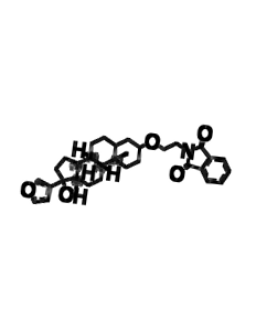 C[C@]12CCC(OCCN3C(=O)c4ccccc4C3=O)CC1CC[C@@H]1[C@H]2CC[C@@]2(C)[C@H]1CCC2(O)c1ccoc1